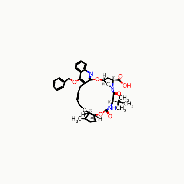 CC1CC[C@H]2OC(=O)N[C@@H](C(C)(C)C)C(=O)N3C[C@@H](C[C@H]3C(=O)O)Oc3nc4ccccc4c(OCc4ccccc4)c3CC=CCC[C@@H]12